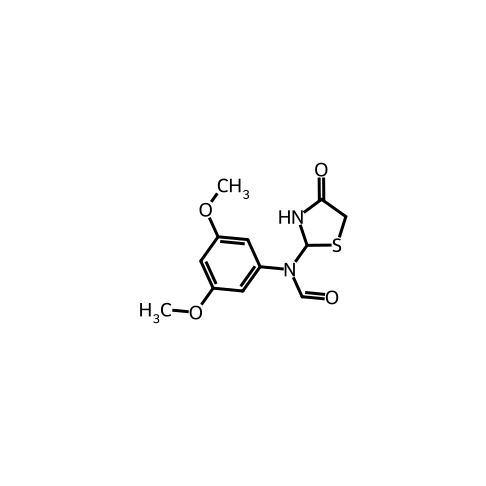 COc1cc(OC)cc(N(C=O)C2NC(=O)CS2)c1